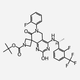 C[C@@H](Nc1nc(O)nc2c1CN(c1ccccc1F)C(=O)C21CN(C(=O)OC(C)(C)C)C1)c1cccc(C(F)(F)F)c1F